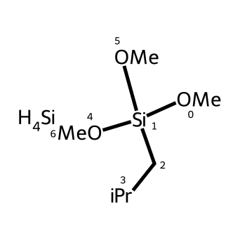 CO[Si](CC(C)C)(OC)OC.[SiH4]